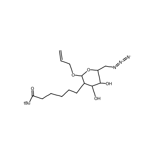 C=CCOC1OC(CN=[N+]=[N-])C(O)C(O)C1CCCCCC(=O)C(C)(C)C